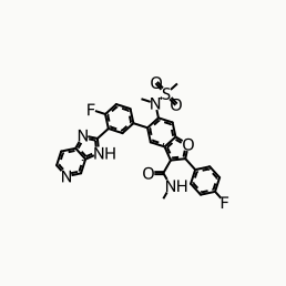 CNC(=O)c1c(-c2ccc(F)cc2)oc2cc(N(C)S(C)(=O)=O)c(-c3ccc(F)c(-c4nc5ccncc5[nH]4)c3)cc12